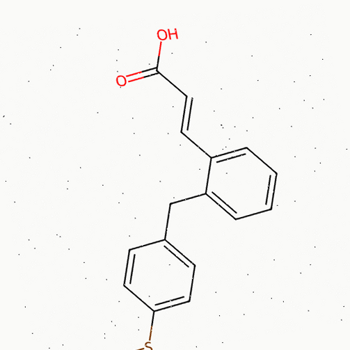 CSc1ccc(Cc2ccccc2C=CC(=O)O)cc1